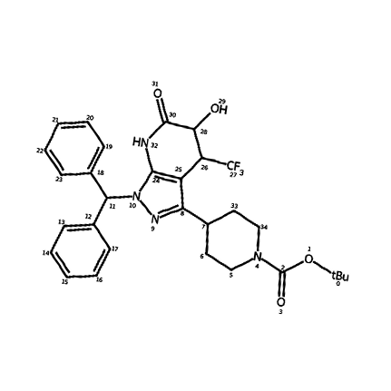 CC(C)(C)OC(=O)N1CCC(c2nn(C(c3ccccc3)c3ccccc3)c3c2C(C(F)(F)F)C(O)C(=O)N3)CC1